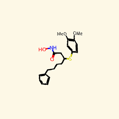 COc1ccc(SC(CCCCc2ccccc2)CC(=O)NO)cc1OC